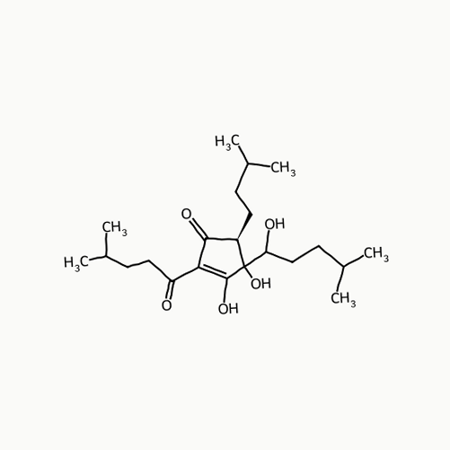 CC(C)CCC(=O)C1=C(O)C(O)(C(O)CCC(C)C)[C@H](CCC(C)C)C1=O